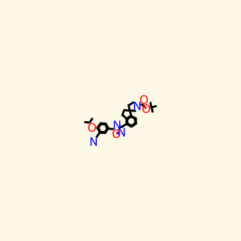 CC(C)Oc1ccc(-c2nc(-c3cccc4c3CCC43CCN(C(=O)OC(C)(C)C)C3)no2)cc1C#N